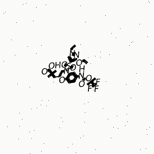 CCOc1nn(CC)cc1S(=O)(=O)N1C[C@H](CC(C)(C)C(=O)O)Oc2ccc(NC(=O)OC(C)(C)C(F)(F)F)cc21